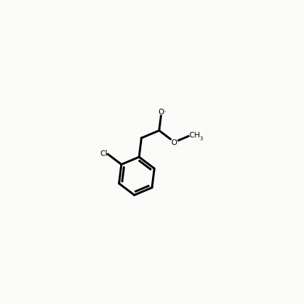 COC([O])Cc1ccccc1Cl